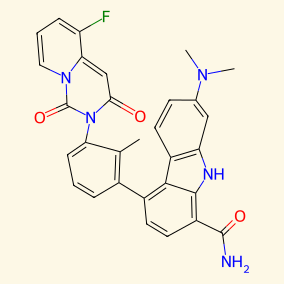 Cc1c(-c2ccc(C(N)=O)c3[nH]c4cc(N(C)C)ccc4c23)cccc1-n1c(=O)cc2c(F)cccn2c1=O